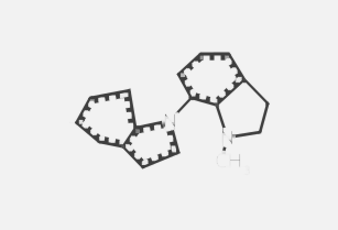 CN1CCc2cccc(-n3ccc4c[c]ccc43)c21